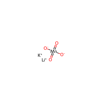 [K+].[Li+].[O]=[Mn](=[O])([O-])[O-]